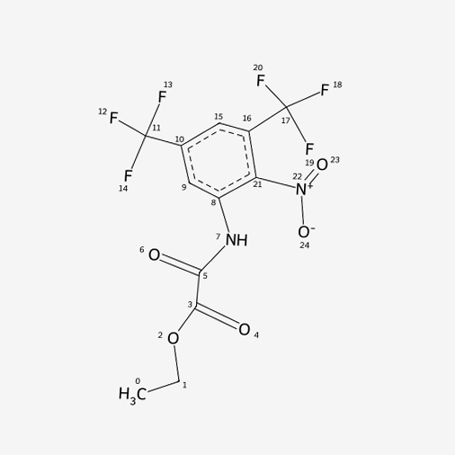 CCOC(=O)C(=O)Nc1cc(C(F)(F)F)cc(C(F)(F)F)c1[N+](=O)[O-]